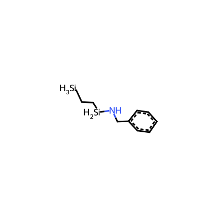 [SiH3]CC[SiH2]NCc1ccccc1